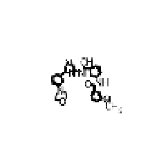 COc1cccc(C(=O)Nc2cccc([C@H](C)Nc3cncc(-c4cccc(N5CCOCC5)c4)n3)c2)c1